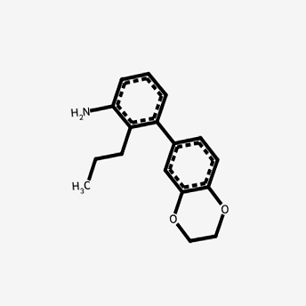 CCCc1c(N)cccc1-c1ccc2c(c1)OCCO2